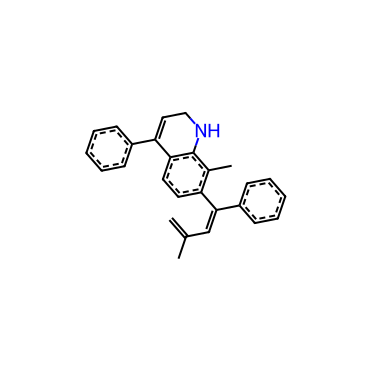 C=C(C)/C=C(/c1ccccc1)c1ccc2c(c1C)NCC=C2c1ccccc1